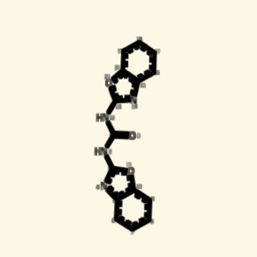 O=C(Nc1nc2ccccc2o1)Nc1nc2ccccc2o1